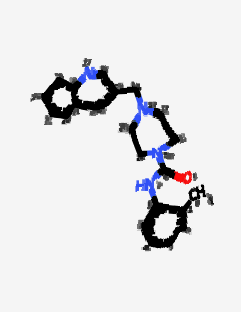 Cc1ccccc1NC(=O)N1CCN(Cc2cnc3ccccc3c2)CC1